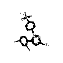 NS(=O)(=O)c1ccc(-n2nc(C(F)(F)F)cc2-c2ccc(F)cc2F)cc1